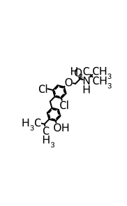 CC(C)c1cc(Cc2c(Cl)cc(OCC(=O)NC(C)(C)C)cc2Cl)ccc1O